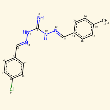 N=C(NN=Cc1ccc(Cl)cc1)NN=Cc1ccc(C(F)(F)F)cc1